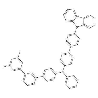 Cc1cc(C)cc(-c2cccc(-c3ccc(N(c4ccccc4)c4ccc(-c5ccc(-n6c7ccccc7c7ccccc76)cc5)cc4)cc3)c2)c1